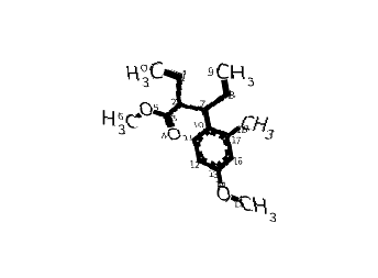 CCC(C(=O)OC)C(CC)c1ccc(OC)cc1C